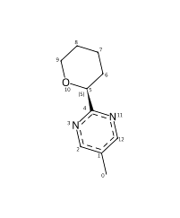 Cc1cnc([C@@H]2CCCCO2)nc1